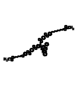 C=CC(=O)OCCCCCCCCCc1ccc(OC(=O)[C@H]2CC[C@H](C(=O)OCCc3ccc(OC(=O)[C@H]4CC[C@H](C(=O)Oc5ccc(OCCCCCCOC(=O)C=C)cc5)CC4)cc3/C=N/N(C(=S)Nc3ccccc3)c3nc4c(s3)C=CCC4)CC2)cc1